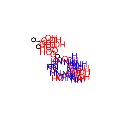 CC(c1ccccc1)C1NC(=O)CNC(=O)C(CO)NC(=O)C(C(O)C2CNC(=N)N2C2OC(CO)C(O)C(O)C2O)NC(=O)C(C(O)C2CNC(=N)N2)NC(=O)C(Cc2ccc(OC3OC(CO)C(OC4OC5COC(C=C(c6ccccc6)c6ccccc6)OC5C(O)C4O)C(O)C3O)cc2)NC1=O